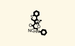 Cn1nc(C(=O)C(C#N)C(=O)Nc2ccccc2)c2c1-c1ccccc1SC2